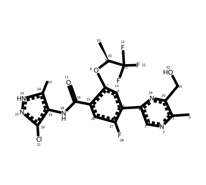 Cc1ncc(-c2cc(O[C@@H](C)C(F)(F)F)c(C(=O)Nc3c(Cl)n[nH]c3C)cc2F)nc1CO